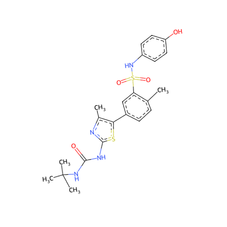 Cc1ccc(-c2sc(NC(=O)NC(C)(C)C)nc2C)cc1S(=O)(=O)Nc1ccc(O)cc1